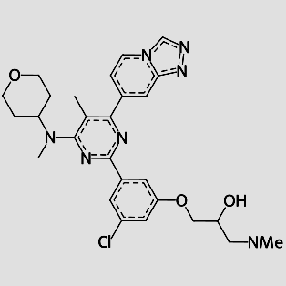 CNCC(O)COc1cc(Cl)cc(-c2nc(-c3ccn4cnnc4c3)c(C)c(N(C)C3CCOCC3)n2)c1